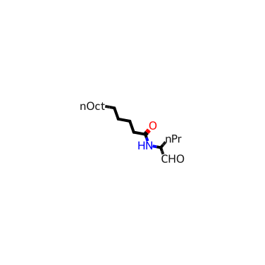 CCCCCCCCCCCCC(=O)NC(C=O)CCC